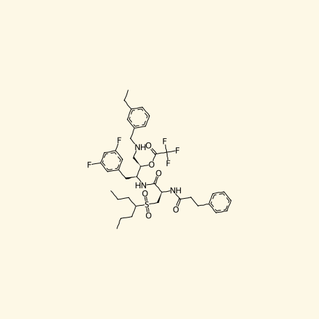 CCCC(CCC)S(=O)(=O)C[C@H](NC(=O)CCc1ccccc1)C(=O)N[C@@H](Cc1cc(F)cc(F)c1)[C@@H](CNCc1cccc(CC)c1)OC(=O)C(F)(F)F